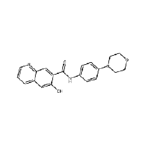 O=C(Nc1ccc(N2CCOCC2)cc1)c1cc2ncccc2cc1O